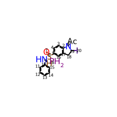 CC(=O)N1c2ccc([SH](=O)(P)Nc3ccccc3)cc2CC1I